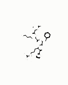 CC(=O)N[C@@H](CO)C(=O)N[C@@H](CCCCN)C(=O)N[C@@H](Cc1ccccc1)C(=O)NC(CCCNC(=N)N)C(=O)c1nccs1